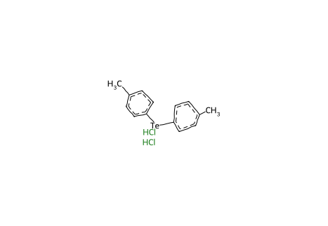 Cc1ccc([Te]c2ccc(C)cc2)cc1.Cl.Cl